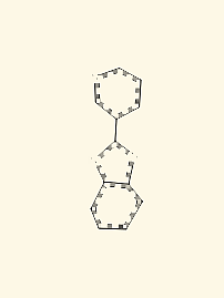 [c]1ccc2[nH]c(-c3cccnc3)nc2c1